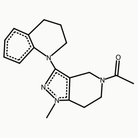 CC(=O)N1CCc2c(c(N3CCCc4ccccc43)nn2C)C1